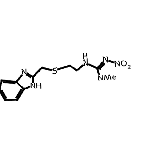 CN/C(=N\[N+](=O)[O-])NCCSCc1nc2ccccc2[nH]1